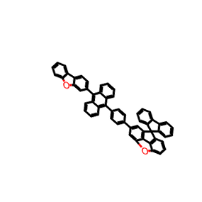 c1ccc2c(c1)-c1ccccc1C21c2cccc3oc4cc(-c5ccc(-c6c7ccccc7c(-c7ccc8c(c7)oc7ccccc78)c7ccccc67)cc5)cc1c4c23